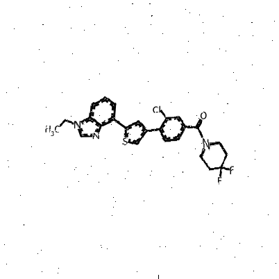 CCn1cnc2c(-c3cc(-c4ccc(C(=O)N5CCC(F)(F)CC5)cc4Cl)cs3)cccc21